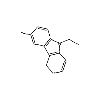 CCn1c2c(c3cc(C)ccc31)CCC=C2